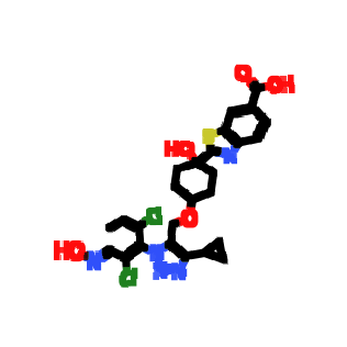 C\C=C(Cl)/C(=C(Cl)\C=N\O)n1nnc(C2CC2)c1COC1CCC(O)(c2nc3ccc(C(=O)O)cc3s2)CC1